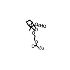 CCC(C)C(=O)OCCOC(=O)C1(C)C2CCC(O2)C1(C)OC=O